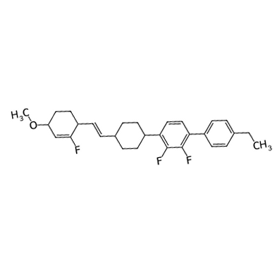 CCc1ccc(-c2ccc(C3CCC(/C=C/C4CCC(OC)C=C4F)CC3)c(F)c2F)cc1